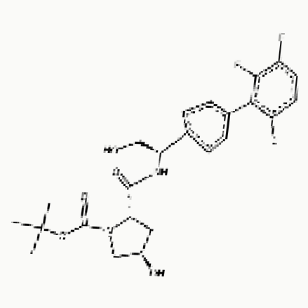 CC(C)(C)OC(=O)N1C[C@H](O)C[C@H]1C(=O)N[C@@H](CO)c1ccc(-c2c(F)ccc(F)c2F)cc1